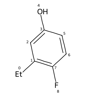 CCc1cc(O)ccc1F